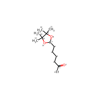 CCC(=O)CCCCB1OC(C)(C)C(C)(C)O1